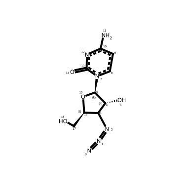 [N-]=[N+]=NC1[C@@H](O)[C@H](n2ccc(N)nc2=O)O[C@@H]1CO